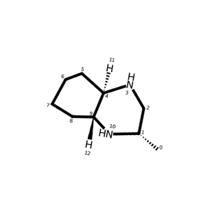 C[C@H]1CN[C@@H]2CCCC[C@H]2N1